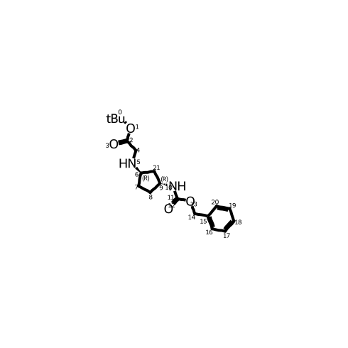 CC(C)(C)OC(=O)CN[C@@H]1CC[C@@H](NC(=O)OCc2ccccc2)C1